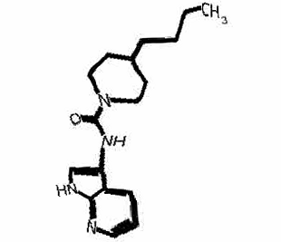 CCCCC1CCN(C(=O)Nc2c[nH]c3ncccc23)CC1